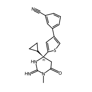 CN1C(=N)N[C@@](c2cc(-c3cccc(C#N)c3)cs2)(C2CC2)CC1=O